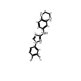 Fc1ccc(-n2cnc(Nc3ccc4c(c3)OCCO4)n2)cc1F